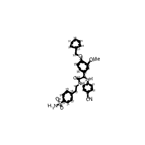 COc1cc(C(Nc2ccc(C#N)cc2)C(=O)NCCc2ccc(S(N)(=O)=O)cc2)ccc1OCc1ccccc1